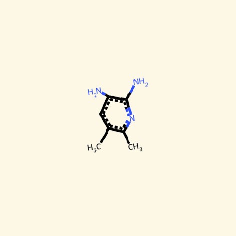 Cc1cc(N)c(N)nc1C